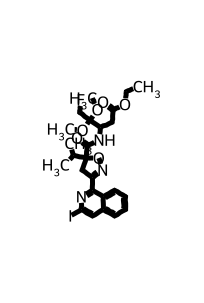 CCOC(=O)CC(NC(=O)C1(C(C)C)CC(c2nc(I)cc3ccccc23)=NO1)C(CF)(OC)OC